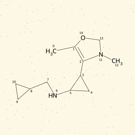 CC1=C(C2CC2NCC2CC2)N(C)CO1